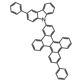 c1ccc(-c2ccc3c(c2)c2ccccc2c2c4ccc(-n5c6ccccc6c6cc(-c7ccccc7)ccc65)cc4c4ccccc4c32)cc1